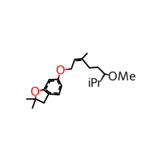 COC(CCC(C)=CCOc1ccc2c(c1)OC(C)(C)C2)C(C)C